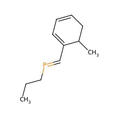 CCC/P=C/C1=CC=CCC1C